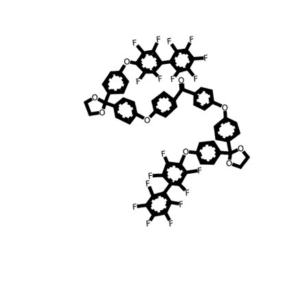 O=C(c1ccc(Oc2ccc(C3(c4ccc(Oc5c(F)c(F)c(-c6c(F)c(F)c(F)c(F)c6F)c(F)c5F)cc4)OCCO3)cc2)cc1)c1ccc(Oc2ccc(C3(c4ccc(Oc5c(F)c(F)c(-c6c(F)c(F)c(F)c(F)c6F)c(F)c5F)cc4)OCCO3)cc2)cc1